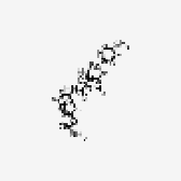 CC(C)(C(=O)NC1C2CC3CC1CC(OC(N)=O)(C3)C2)N1CCN(c2ccc(C(F)(F)F)cn2)CC1